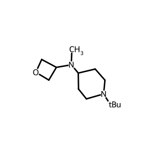 CN(C1CCN(C(C)(C)C)CC1)C1COC1